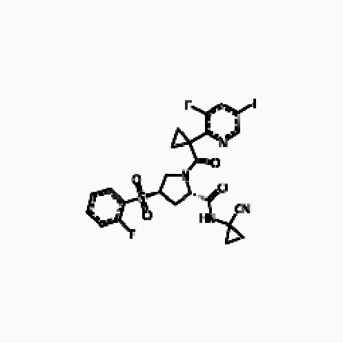 N#CC1(NC(=O)[C@@H]2C[C@@H](S(=O)(=O)c3ccccc3F)CN2C(=O)C2(c3ncc(I)cc3F)CC2)CC1